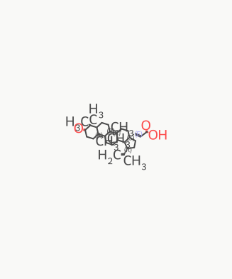 C=C(C)[C@@H]1CC[C@]2(/C=C/C(=O)O)CC[C@]3(C)C(CCC4[C@@]5(C)CCC(=O)C(C)(C)C5CC[C@]43C)C12